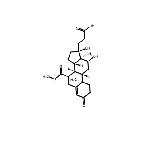 COC(=O)[C@@H]1CC2=CC(=O)CC[C@]2(C)[C@H]2C[C@H](O)[C@@]3(C)[C@@H](CC[C@]3(O)CCC(=O)O)[C@H]12